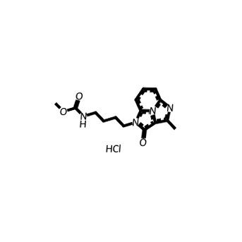 COC(=O)NCCCCn1c(=O)c2c(C)nc3cccc1n32.Cl